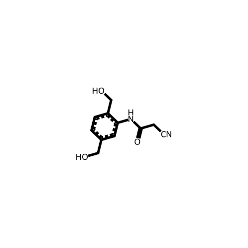 N#CCC(=O)Nc1cc(CO)ccc1CO